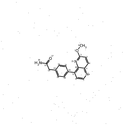 COc1ccc2nccc(-c3ccc(CC(N)=O)cc3)c2n1